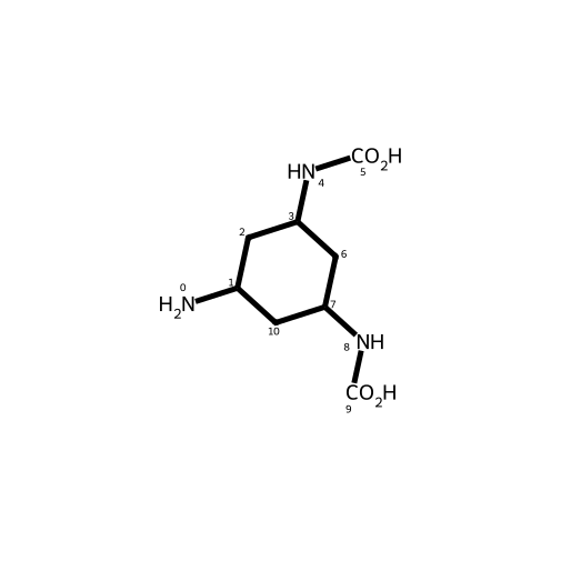 NC1CC(NC(=O)O)CC(NC(=O)O)C1